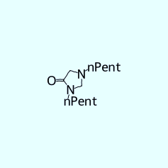 CCCCCN1CC(=O)N(CCCCC)C1